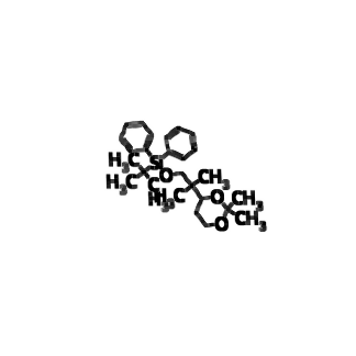 CC1(C)OCCC(C(C)(C)CO[Si](c2ccccc2)(c2ccccc2)C(C)(C)C)O1